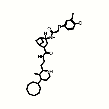 CC1C(CCNC(=O)C2C[C@H](NC(=O)COc3ccc(Cl)c(F)c3)C3CC2C3)NCCC1C1CCCCCCC1